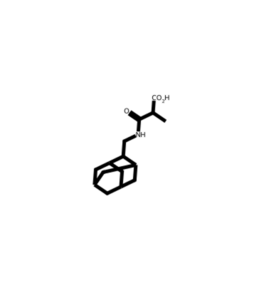 CC(C(=O)O)C(=O)NCC1C2CC3CC(C2)CC1C3